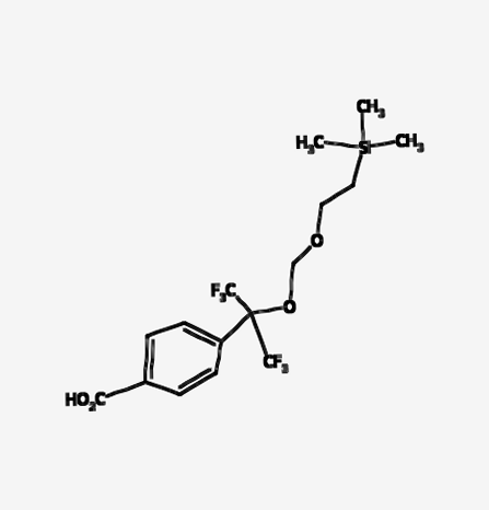 C[Si](C)(C)CCOCOC(c1ccc(C(=O)O)cc1)(C(F)(F)F)C(F)(F)F